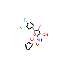 O=S(=O)(Nc1oc(-c2ccc(F)c(Cl)c2)c(O)c1O)c1ccccc1